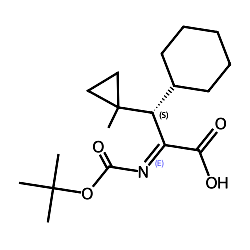 CC(C)(C)OC(=O)/N=C(/C(=O)O)[C@@H](C1CCCCC1)C1(C)CC1